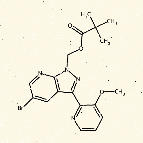 COc1cccnc1-c1nn(COC(=O)C(C)(C)C)c2ncc(Br)cc12